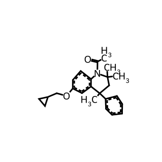 CC(=O)N1c2ccc(OCC3CC3)cc2C(C)(c2ccccc2)CC1(C)C